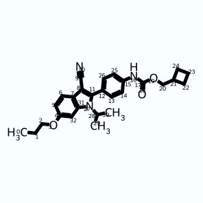 CCCOc1ccc2c(C#N)c(-c3ccc(NC(=O)OCC4CCC4)cc3)n(C(C)C)c2c1